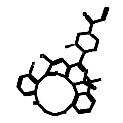 C=CC(=O)N1CCN(c2nc(=O)n3c4nc(c(Cl)cc24)-c2c(F)cccc2NCCSc2cccc(C(C)C)c2-3)[C@H](C)C1